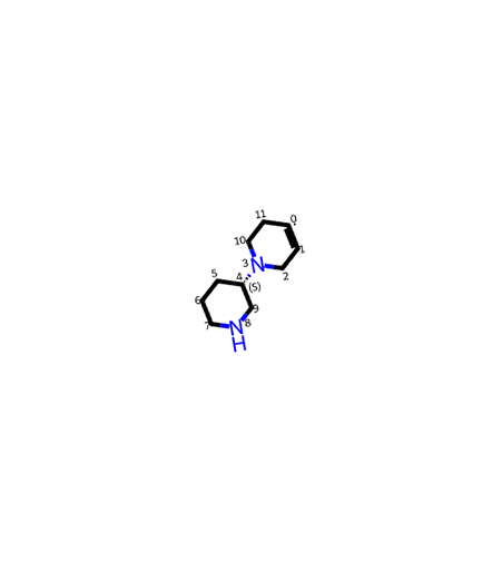 [C]1=CCN([C@H]2CCCNC2)CC1